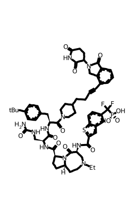 CCN1CC[C@H]2CC[C@@H](C(=O)N[C@@H](CNC(N)=O)C(=O)N[C@@H](Cc3ccc(C(C)(C)C)cc3)C(=O)N3CCC(CCC#Cc4cccc5c4CN(C4CCC(=O)NC4=O)C5=O)CC3)N2C(=O)[C@@H](NC(=O)c2cc3cc(C(F)(F)P(=O)(O)O)ccc3s2)C1